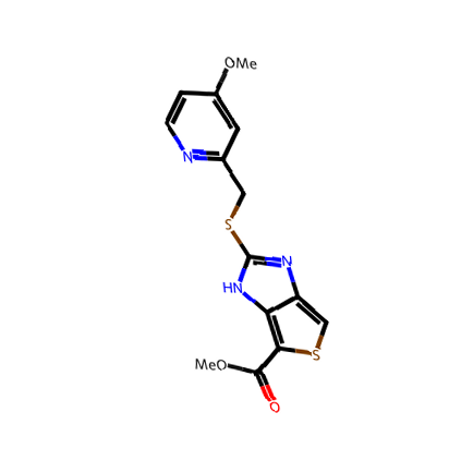 COC(=O)c1scc2nc(SCc3cc(OC)ccn3)[nH]c12